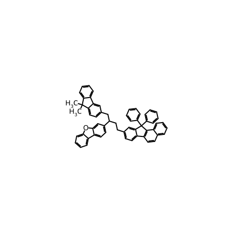 CC1(C)c2ccccc2-c2cc(CC(CCc3ccc4c(c3)C(c3ccccc3)(c3ccccc3)c3c-4ccc4ccccc34)c3ccc4c(c3)oc3ccccc34)ccc21